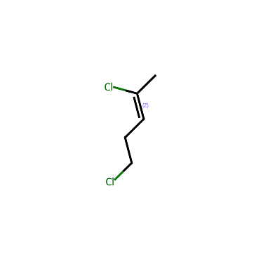 C/C(Cl)=C/CCCl